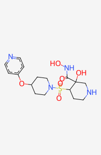 O=C(NO)C1(O)CNCCC1S(=O)(=O)N1CCC(Oc2ccncc2)CC1